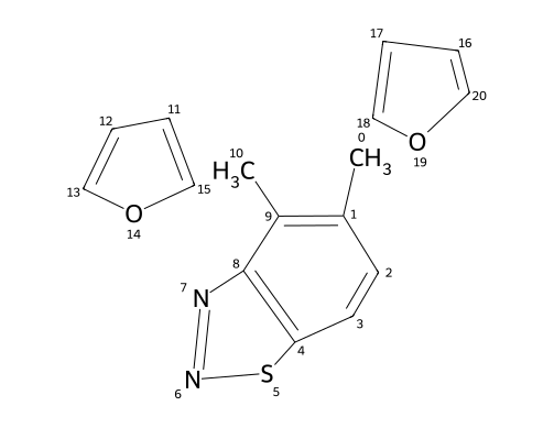 Cc1ccc2snnc2c1C.c1ccoc1.c1ccoc1